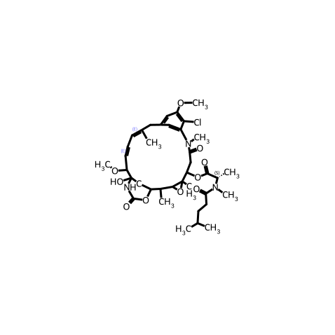 COc1cc2cc(c1Cl)N(C)C(=O)CC(OC(=O)[C@H](C)N(C)C(=O)CCC(C)C)C1(C)OC1C(C)C1CC(O)(NC(=O)O1)C(OC)/C=C/C=C(\C)C2